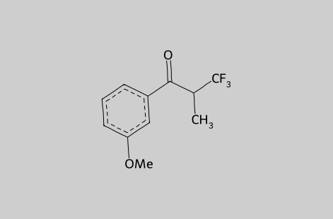 COc1cccc(C(=O)C(C)C(F)(F)F)c1